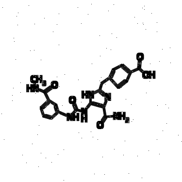 CNC(=O)c1cccc(NC(=O)Nc2[nH]c(Cc3ccc(C(=O)O)cc3)nc2C(N)=O)c1